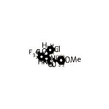 COc1ccc(C(=O)Nc2c(-c3cc(Cl)ccc3O)c3cc(C(F)(F)F)ccc3[nH]c2=O)cc1